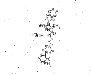 CCCc1nc(C(=O)NCCCN2CCN(c3cccc(C)c3C)CC2)c(C)n1-c1ccc2c(c1)OCCO2.Cl.Cl